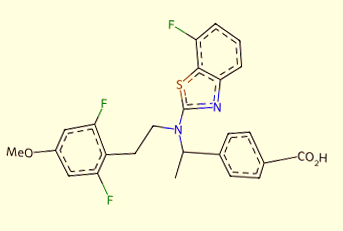 COc1cc(F)c(CCN(c2nc3cccc(F)c3s2)C(C)c2ccc(C(=O)O)cc2)c(F)c1